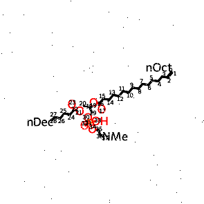 CCCCCCCC/C=C\CCCCCCCCCCCCCC(=O)O[C@H](COC(=O)CCCCCCCCCCCCCC)COP(=O)(O)OCCNC